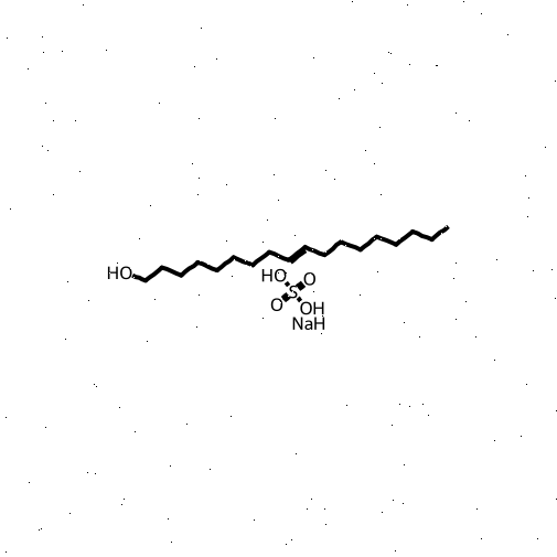 CCCCCCCCC=CCCCCCCCCO.O=S(=O)(O)O.[NaH]